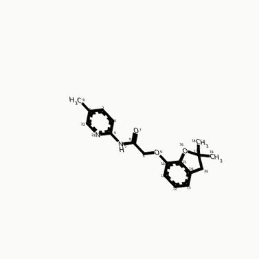 Cc1ccc(NC(=O)COc2cccc3c2OC(C)(C)C3)nc1